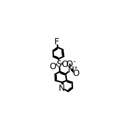 O=[N+]([O-])c1c(S(=O)(=O)c2ccc(F)cc2)ccc2ncccc12